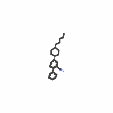 CCCCC[C@H]1CC[C@H](c2ccc(-c3ccccc3)c(C#N)c2)CC1